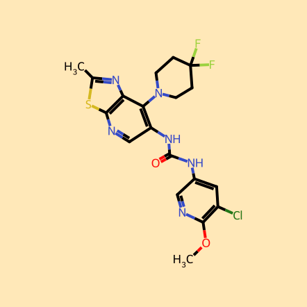 COc1ncc(NC(=O)Nc2cnc3sc(C)nc3c2N2CCC(F)(F)CC2)cc1Cl